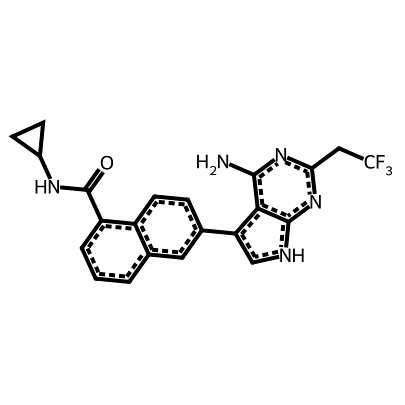 Nc1nc(CC(F)(F)F)nc2[nH]cc(-c3ccc4c(C(=O)NC5CC5)cccc4c3)c12